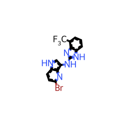 FC(F)(F)c1cccc2[nH]c(Nc3c[nH]c4ccc(Br)nc34)nc12